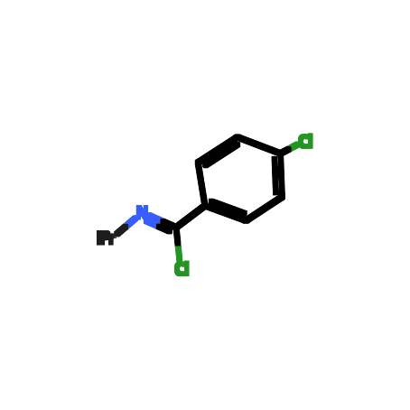 CC(C)N=C(Cl)c1ccc(Cl)cc1